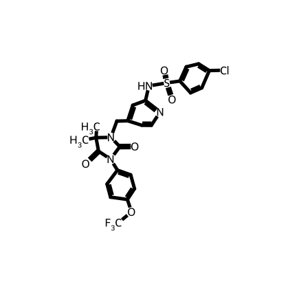 CC1(C)C(=O)N(c2ccc(OC(F)(F)F)cc2)C(=O)N1Cc1ccnc(NS(=O)(=O)c2ccc(Cl)cc2)c1